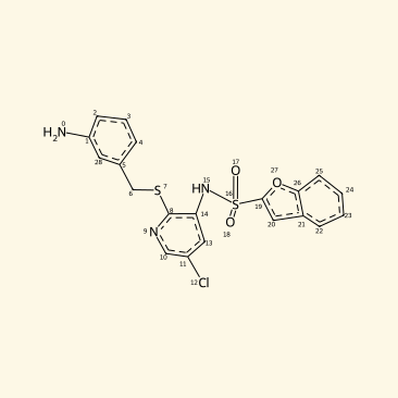 Nc1cccc(CSc2ncc(Cl)cc2NS(=O)(=O)c2cc3ccccc3o2)c1